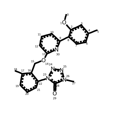 COc1cc(C)ccc1-c1cccc(OCc2c(C)cccc2-n2nnn(C)c2=O)n1